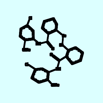 COc1ccc(Cl)cc1NC(=O)c1ccccc1[Se][Se]c1ccccc1C(=O)Nc1cc(Cl)ccc1OC